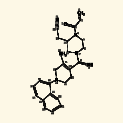 C=CC(=O)N1CCN(C(=N)C2=C(N)CN(c3cccc4ccccc34)CC2)CC1CC#N